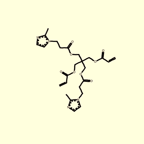 C=CC(=O)OCC(COC(=O)C=C)(COC(=O)CCn1ccnc1C)COC(=O)CCn1ccnc1C